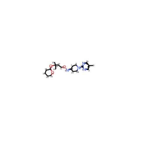 Cc1cnc(N2CCC(=NOCCC(C)(C)OC3CCCCO3)CC2)nc1